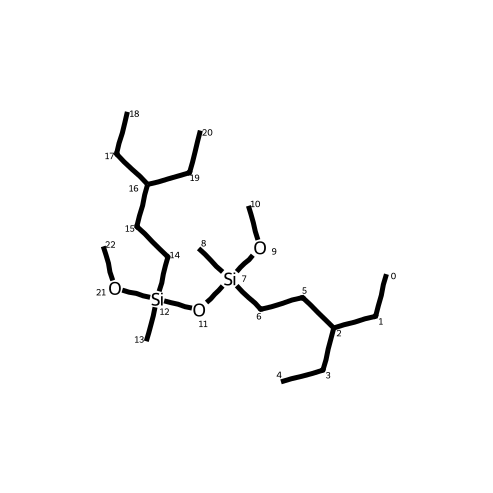 CCC(CC)CC[Si](C)(OC)O[Si](C)(CCC(CC)CC)OC